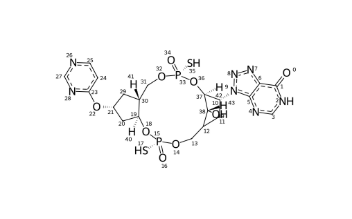 O=c1[nH]cnc2c1nnn2[C@@H]1CC2CO[P@](=O)(S)O[C@H]3C[C@H](Oc4ccncn4)C[C@@H]3CO[P@](=O)(S)O[C@@H]1[C@@H]2O